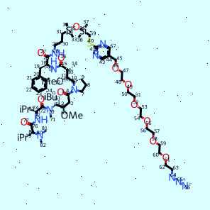 CC[C@H](C)[C@@H]([C@@H](CC(=O)N1CCC[C@H]1[C@H](OC)[C@@H](C)C(=O)N[C@@H](Cc1ccccc1)C(=O)NCCC[Si](C)(C)O[Si](C)(C)CSc1ncc(COCCOCCOCCOCCOCCOCCN=[N+]=[N-])cn1)OC)N(C)C(=O)[C@@H](NC(=O)[C@H](C(C)C)N(C)C)C(C)C